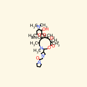 CO[C@]1(C)C[C@@H](C)CN(C)C(C2CN(CC(=O)N3CCCC3)C2)COC(=O)C(C)(C)C(=O)[C@H](C)[C@H]1O[C@@H]1O[C@H](C)C[C@H](N(C)C)[C@H]1O